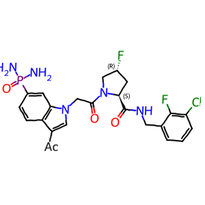 CC(=O)c1cn(CC(=O)N2C[C@H](F)C[C@H]2C(=O)NCc2cccc(Cl)c2F)c2cc(P(N)(N)=O)ccc12